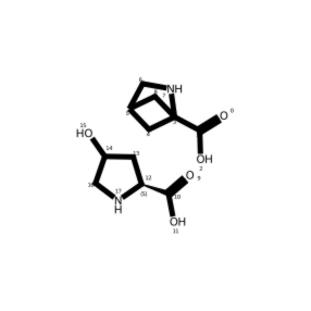 O=C(O)C12CC(CN1)C2.O=C(O)[C@@H]1CC(O)CN1